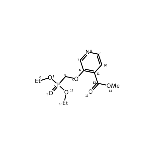 CCOP(=O)(COc1cnccc1C(=O)OC)OCC